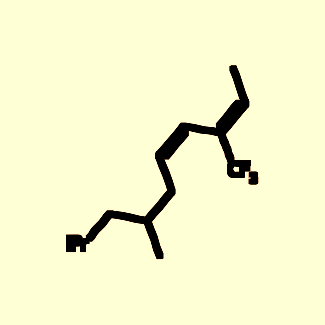 C/C=C(\C=C/CC(C)CC(C)C)C(F)(F)F